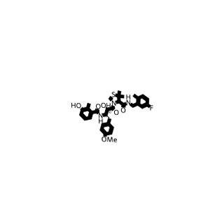 COc1ccc(C[C@H](NC(=O)c2cccc(O)c2C)[C@H](O)C(=O)N2CSC(C)(C)C2C(=O)NCc2cc(F)ccc2C)cc1